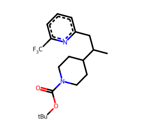 CC(Cc1cccc(C(F)(F)F)n1)C1CCN(C(=O)OC(C)(C)C)CC1